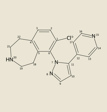 Clc1ccc2c(c1-n1nccc1-c1ccncc1)CCNCC2